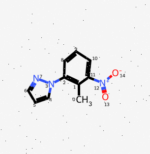 Cc1c(-n2cccn2)cccc1[N+](=O)[O-]